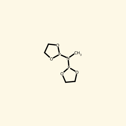 CN(P1OCCO1)P1OCCO1